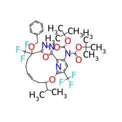 CC(C)C1C/C=C\CC[C@](OCc2ccccc2)(C(F)(F)F)c2nnc(o2)-c2nc(c(C(F)(F)F)cc2N(C(=O)OC(C)(C)C)C(=O)OC(C)(C)C)O1